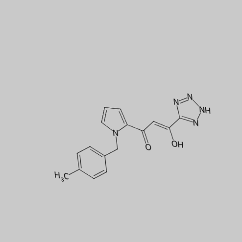 Cc1ccc(Cn2cccc2C(=O)C=C(O)c2nn[nH]n2)cc1